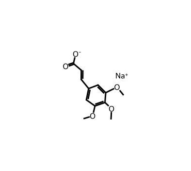 COc1cc(C=CC(=O)[O-])cc(OC)c1OC.[Na+]